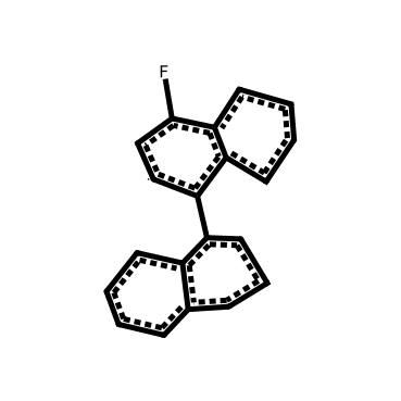 Fc1c[c]c(-c2cccc3ccccc23)c2ccccc12